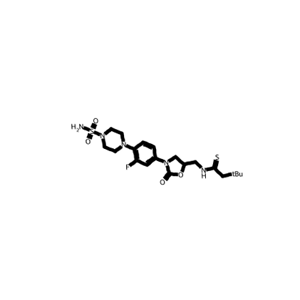 CC(C)(C)CC(=S)NCC1CN(c2ccc(N3CCN(S(N)(=O)=O)CC3)c(F)c2)C(=O)O1